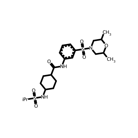 CC1CN(S(=O)(=O)c2cccc(NC(=O)C3CCC(NS(=O)(=O)C(C)C)CC3)c2)CC(C)O1